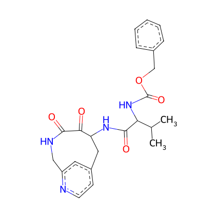 CC(C)C(NC(=O)OCc1ccccc1)C(=O)NC1Cc2ccnc(c2)CNC(=O)C1=O